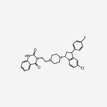 O=c1[nH]c2ccccc2c(=O)n1CCN1CCN(C2CC(c3ccc(F)cc3)c3cc(Cl)ccc32)CC1